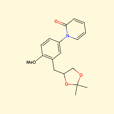 COc1ccc(-n2ccccc2=O)cc1CC1COC(C)(C)O1